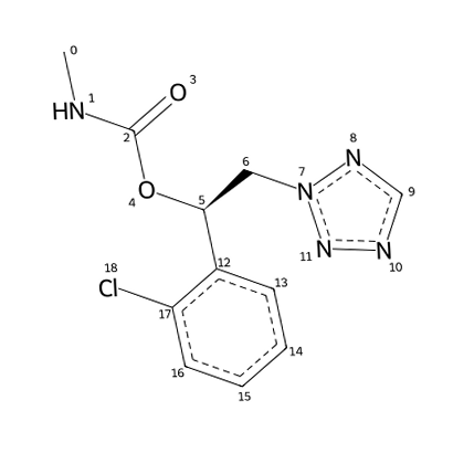 CNC(=O)O[C@@H](Cn1ncnn1)c1ccccc1Cl